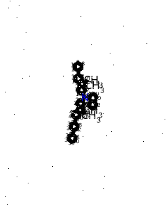 CC1(C)c2cc(-c3ccccc3)ccc2-c2ccc(N(c3ccc4c(c3)C(C)(C)c3cc(-c5ccc(-c6ccccc6)cc5)ccc3-4)c3cccc4ccccc34)cc21